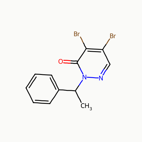 CC(c1ccccc1)n1ncc(Br)c(Br)c1=O